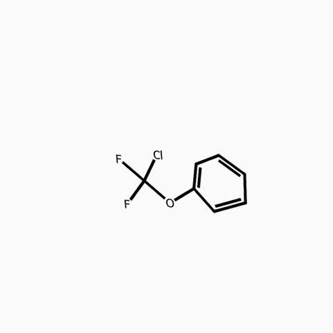 FC(F)(Cl)Oc1ccccc1